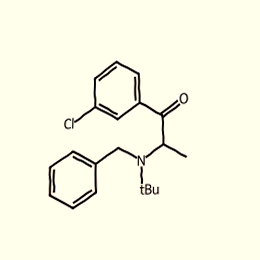 CC(C(=O)c1cccc(Cl)c1)N(Cc1ccccc1)C(C)(C)C